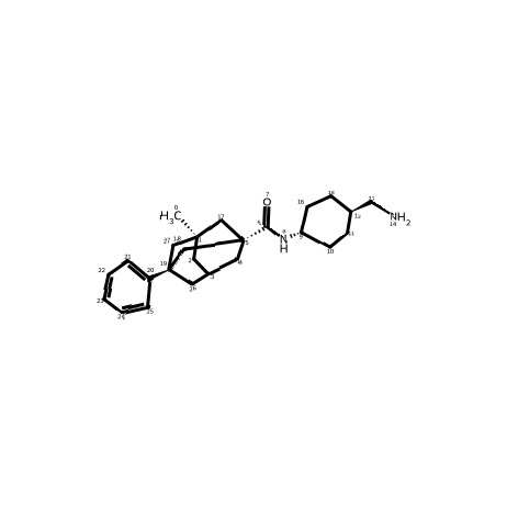 C[C@@]12CC3C[C@](C(=O)N[C@H]4CC[C@H](CN)CC4)(C1)C[C@](c1ccccc1)(C3)C2